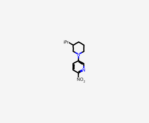 CC(C)C1CCCN(c2ccc([N+](=O)[O-])nc2)C1